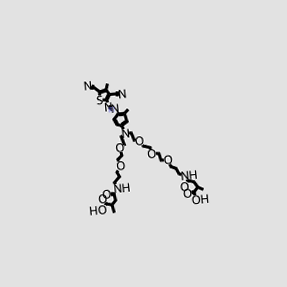 Cc1cc(N(CCOCCOCCCNC(=O)CC(C)C(=O)O)CCOCCOCCOCCCNC(=O)CC(C)C(=O)O)ccc1/N=N/c1sc(C#N)c(C)c1C#N